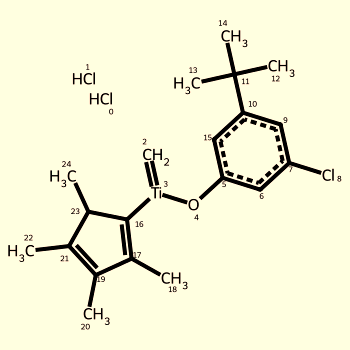 Cl.Cl.[CH2]=[Ti]([O]c1cc(Cl)cc(C(C)(C)C)c1)[C]1=C(C)C(C)=C(C)C1C